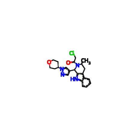 C[C@H]1Cc2c([nH]c3ccccc23)C(c2cnn(C3CCOCC3)c2)N1C(=O)CCl